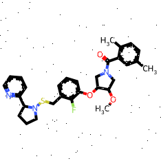 COC1CN(C(=O)c2cc(C)ccc2C)CC1Oc1cccc(CSN2CCCC2c2ccccn2)c1F